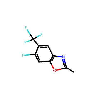 Cc1nc2cc(C(F)(F)F)c(F)cc2o1